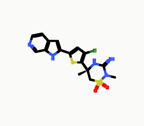 CN1C(=N)N[C@](C)(c2sc(-c3cc4ccncc4[nH]3)cc2Cl)CS1(=O)=O